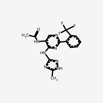 CC(=O)Nc1cnc(-c2ccccc2C(F)(F)F)nc1Nc1n[nH]c(C)n1